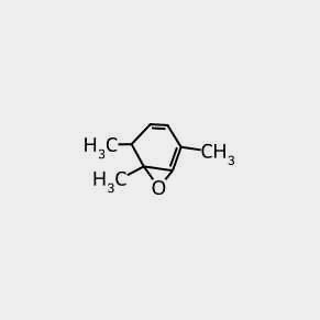 CC1=C2OC2(C)C(C)C=C1